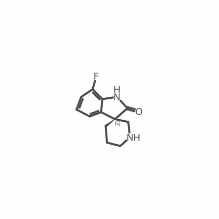 O=C1Nc2c(F)cccc2[C@]12CCCNC2